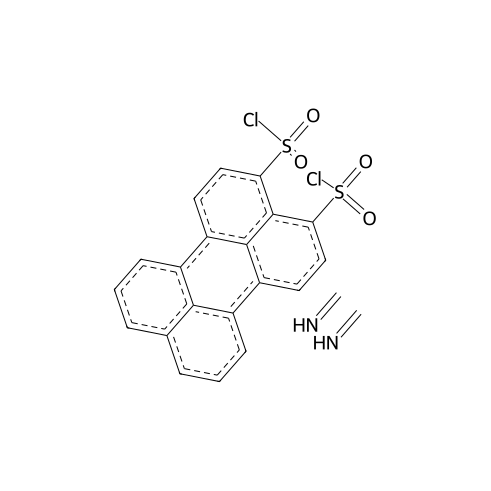 C=N.C=N.O=S(=O)(Cl)c1ccc2c3cccc4cccc(c5ccc(S(=O)(=O)Cl)c1c25)c43